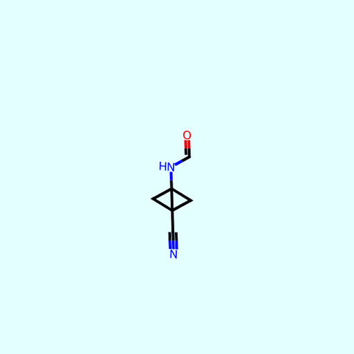 N#CC12CC1(NC=O)C2